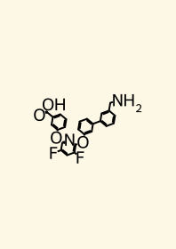 NCc1cccc(-c2cccc(Oc3nc(Oc4cccc(C(=O)O)c4)c(F)cc3F)c2)c1